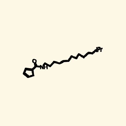 CC(C)CCCCCCCCCCCCNC(=O)C1=CC=CC1